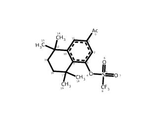 CC(=O)c1cc(OS(=O)(=O)C(F)(F)F)c2c(c1)C(C)(C)CCC2(C)C